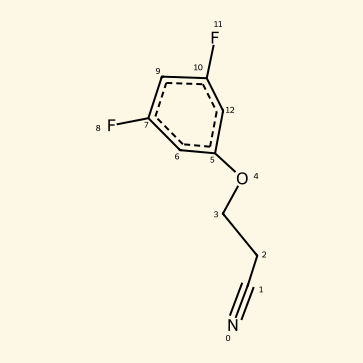 N#CCCOc1cc(F)cc(F)c1